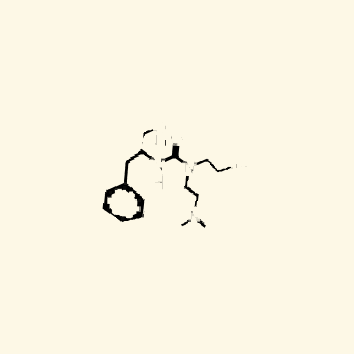 CC(C)CCN(CCN(C)C)C(=O)N[C@H](CO)Cc1ccccc1